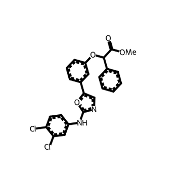 COC(=O)C(Oc1cccc(-c2cnc(Nc3ccc(Cl)c(Cl)c3)o2)c1)c1ccccc1